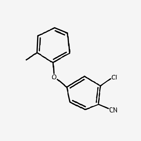 Cc1ccccc1Oc1ccc(C#N)c(Cl)c1